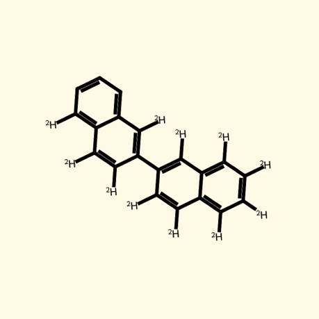 [2H]c1c(-c2c([2H])c([2H])c3c([2H])c([2H])c([2H])c([2H])c3c2[2H])c([2H])c2cccc([2H])c2c1[2H]